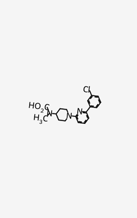 CN(C(=O)O)C1CCN(c2cccc(-c3cccc(Cl)c3)n2)CC1